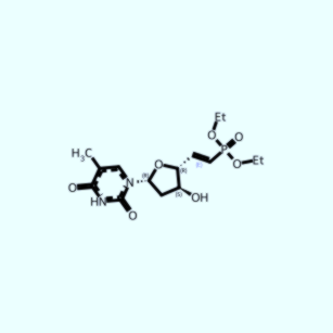 CCOP(=O)(/C=C/[C@H]1O[C@@H](n2cc(C)c(=O)[nH]c2=O)C[C@@H]1O)OCC